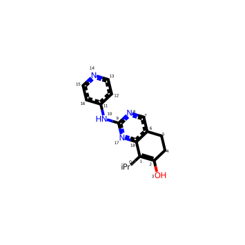 CC(C)C1=C(O)CCc2cnc(Nc3ccncc3)nc21